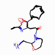 Cc1nc(C(=O)N2CCOC2CN)c(-c2ccccc2)o1